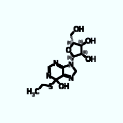 CCSC1(O)N=CN=C2C1=NCN2[C@@H]1O[C@H](CO)[C@@H](O)[C@H]1O